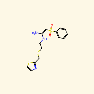 NC(=CS(=O)(=O)c1ccccc1)NCCSCc1nccs1